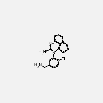 N=C(N)N(c1cc(CN)ccc1Cl)c1cccc2ccccc12